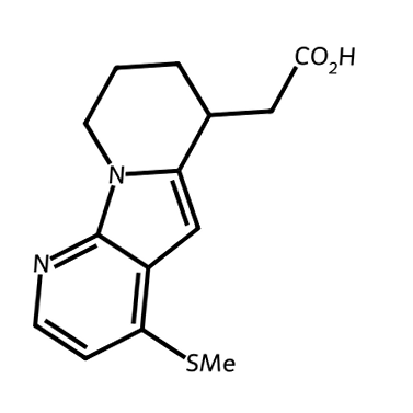 CSc1ccnc2c1cc1n2CCCC1CC(=O)O